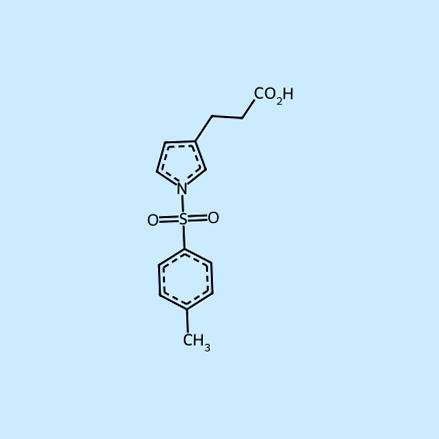 Cc1ccc(S(=O)(=O)n2ccc(CCC(=O)O)c2)cc1